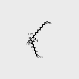 CCCCCCCCCCCCCCCCCCCC(O)C(=O)N[C@@H](CO)C(O)[C@H](O)CCCCCCCCCCCCCCCCC